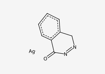 O=C1N=NCc2ccccc21.[Ag]